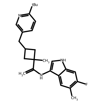 C=C(Nc1c[nH]c2cc(F)c(C)cc12)C1(C)CC(Cc2ccc(C(C)(C)C)nc2)C1